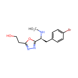 O=C(O)N[C@@H](Cc1ccc(Br)cc1)c1nnc(CCO)o1